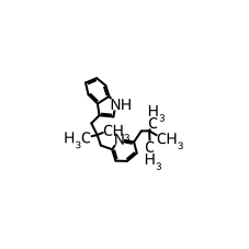 CC(C)(C)Cc1cccc(CC(C)(C)Cc2c[nH]c3ccccc23)n1